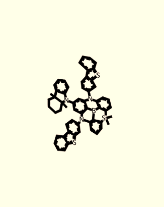 CC12CCCCC1(C)N(c1cc3c4c(c1)N(c1ccc5c(c1)sc1ccccc15)c1cccc5c1B4c1c(cccc1[Si]5(C)C)N3c1ccc3c(c1)sc1ccccc13)c1ccccc12